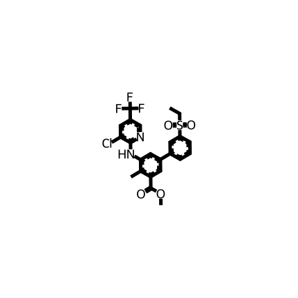 CCS(=O)(=O)c1cccc(-c2cc(Nc3ncc(C(F)(F)F)cc3Cl)c(C)c(C(=O)OC)c2)c1